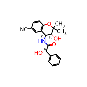 CC1(C)Oc2ccc(C#N)cc2[C@H](NC(=O)[C@@H](O)c2ccccc2)[C@H]1O